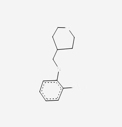 O=C(O)c1ccccc1NCC1CCOCC1